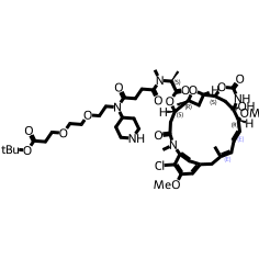 COc1cc2cc(c1Cl)N(C)C(=O)C[C@H](OC(=O)[C@H](C)N(C)C(=O)CCC(=O)N(CCOCCOCCC(=O)OC(C)(C)C)C1CCNCC1)[C@@]1(C)CC(C)(O1)[C@@H]1C[C@@](O)(NC(=O)O1)[C@H](OC)/C=C/C=C(\C)C2